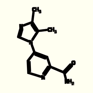 Cc1ncn(-c2ccnc(C(N)=O)c2)c1C